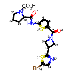 O=C(Nc1ccc(C(=O)N2CC(c3ncc(Br)s3)C2)s1)C1CCCN1C(=O)O